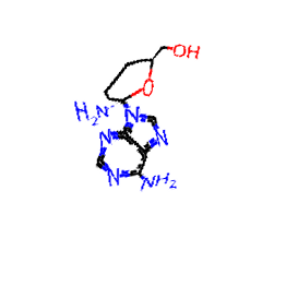 Nc1ncnc2c1ncn2[C@@]1(N)CC[C@@H](CO)O1